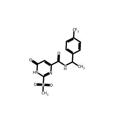 CC(NC(=O)c1cc(=O)[nH]c(S(C)(=O)=O)n1)c1ccc(C(F)(F)F)cc1